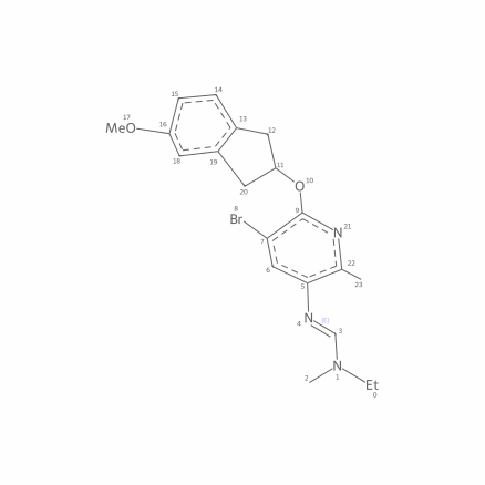 CCN(C)/C=N/c1cc(Br)c(OC2Cc3ccc(OC)cc3C2)nc1C